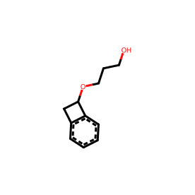 OCCCOC1Cc2ccccc21